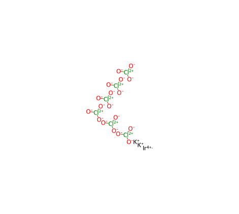 [Ir+4].[K+].[K+].[O-][Cl+2]([O-])[O-].[O-][Cl+2]([O-])[O-].[O-][Cl+2]([O-])[O-].[O-][Cl+2]([O-])[O-].[O-][Cl+2]([O-])[O-].[O-][Cl+2]([O-])[O-]